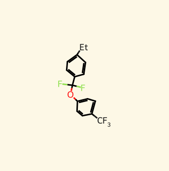 CCc1ccc(C(F)(F)Oc2ccc(C(F)(F)F)cc2)cc1